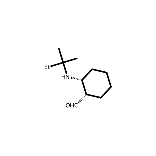 CCC(C)(C)N[C@@H]1CCCC[C@@H]1C=O